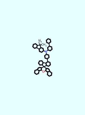 CC1(C)c2ccccc2-c2ccc(N(c3ccc(-c4cccc5c4-c4ccccc4C54c5ccc6ccccc6c5Oc5c4ccc4ccccc54)cc3)c3cccc(-c4ccccc4)c3)cc21